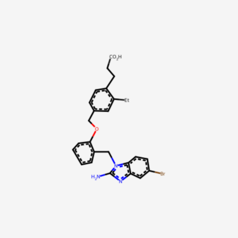 CCc1cc(COc2ccccc2Cn2c(N)nc3cc(Br)ccc32)ccc1CCC(=O)O